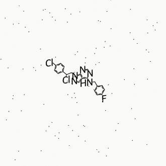 Fc1ccc(CNc2ncnc3c2cnn3CC(Cl)c2ccc(Cl)cc2)cc1